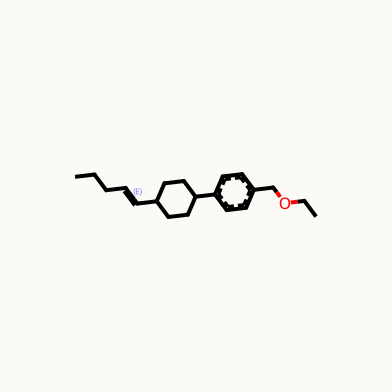 CCC/C=C/C1CCC(c2ccc(COCC)cc2)CC1